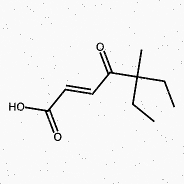 CCC(C)(CC)C(=O)/C=C/C(=O)O